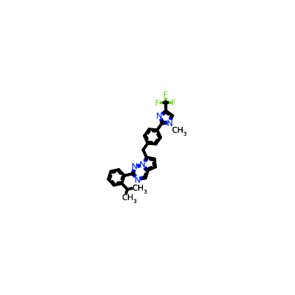 CC(C)c1ccccc1-c1ncc2ccc(Cc3ccc(-c4nc(C(F)(F)F)cn4C)cc3)n2n1